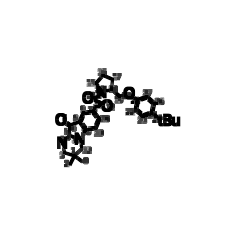 CC1(C)CN=C2C(=O)c3cc(S(=O)(=O)N4CCC[C@H]4COc4ccc(C(C)(C)C)cc4)ccc3N2C1